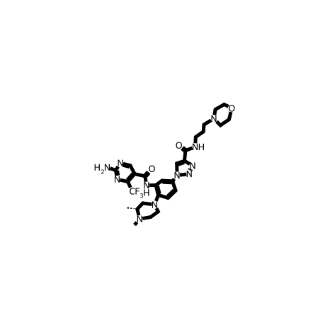 C[C@@H]1CN(c2ccc(-n3cc(C(=O)NCCCN4CCOCC4)nn3)cc2NC(=O)c2cnc(N)nc2C(F)(F)F)CCN1C